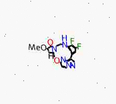 CO[C@@H]1C[C@H]2COc3ccn4ncc(c4n3)-c3cc(F)c(F)c(c3)NCCN2C1=O